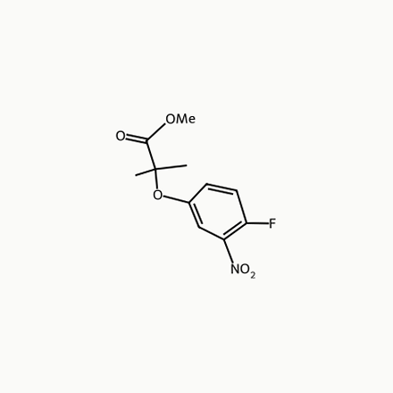 COC(=O)C(C)(C)Oc1ccc(F)c([N+](=O)[O-])c1